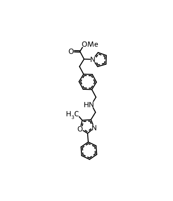 COC(=O)C(Cc1ccc(CNCc2nc(-c3ccccc3)oc2C)cc1)n1cccc1